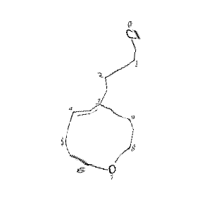 ClCCC1=CCCOCC1